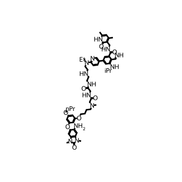 CCCOc1cc(OCCCCN(C)CC(=O)NCC(=O)NCCNCCN(CC)c2ccc(-c3cc(NC(C)C)c(C=N)c(C(=O)NCc4c(C)cc(C)[nH]c4=O)c3)cn2)cc(Oc2cc3c(cc2N)n(C)c(=O)n3C)c1